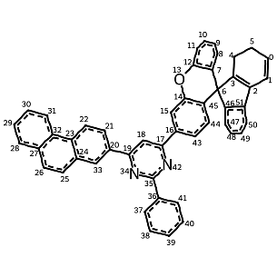 C1=CC2=C(CC1)C1(c3ccccc3Oc3cc(-c4cc(-c5ccc6c(ccc7ccccc76)c5)nc(-c5ccccc5)n4)ccc31)c1ccccc12